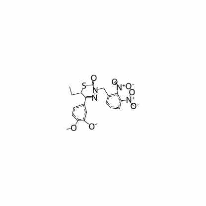 CCC1SC(=O)N(Cc2cccc([N+](=O)[O-])c2[N+](=O)[O-])N=C1c1ccc(OC)c(OC)c1